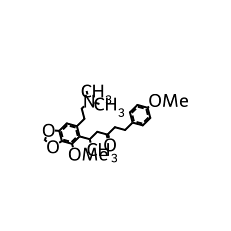 COc1ccc(CCC(=O)CC(C)c2c(CCN(C)C)cc3c(c2OC)OCO3)cc1